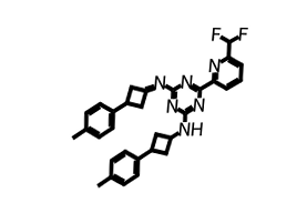 Cc1ccc(C2CC(=Nc3nc(NC4CC(c5ccc(C)cc5)C4)nc(-c4cccc(C(F)F)n4)n3)C2)cc1